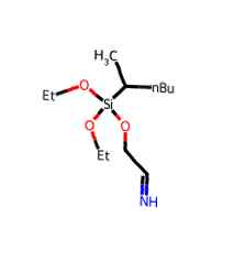 CCCCC(C)[Si](OCC)(OCC)OCC=N